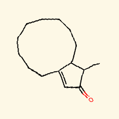 CC1C(=O)C=C2CCCCCCCCCC21